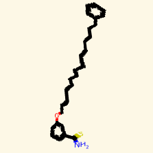 NC(=S)c1cccc(OCCCCCCCCCCCCCCCc2ccccc2)c1